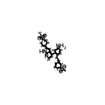 CS(=O)(=O)c1cccc(CCc2ccc(N)cc2-c2ccnc3[nH]c(C4CCN(S(C)(=O)=O)CC4)cc23)c1